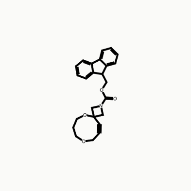 O=C(OCC1c2ccccc2-c2ccccc21)N1CC2(C#CCOCCCO2)C1